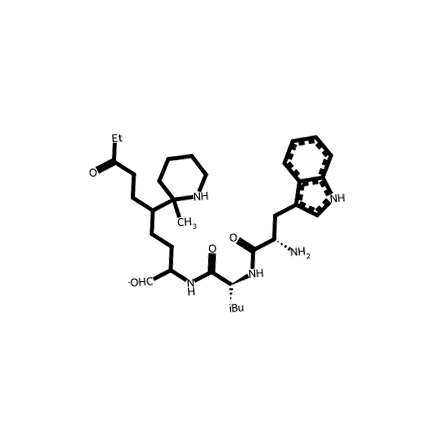 CCC(=O)CCC(CCC([C]=O)NC(=O)[C@@H](NC(=O)[C@@H](N)Cc1c[nH]c2ccccc12)[C@@H](C)CC)C1(C)CCCCN1